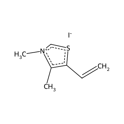 C=Cc1sc[n+](C)c1C.[I-]